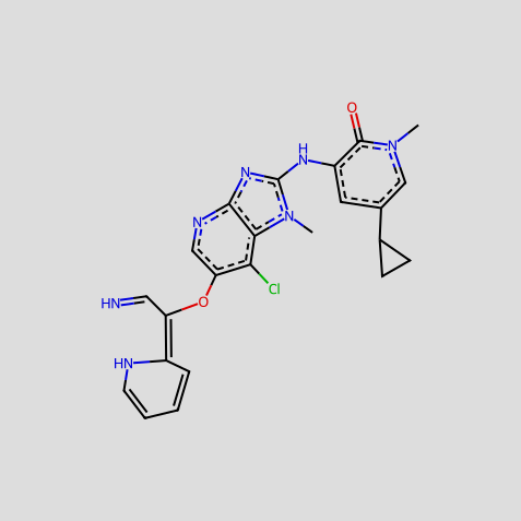 Cn1cc(C2CC2)cc(Nc2nc3ncc(O/C(C=N)=C4\C=CC=CN4)c(Cl)c3n2C)c1=O